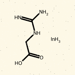 N=C(N)NCC(=O)O.[InH3]